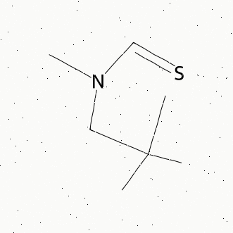 CN(C=S)CC(C)(C)C